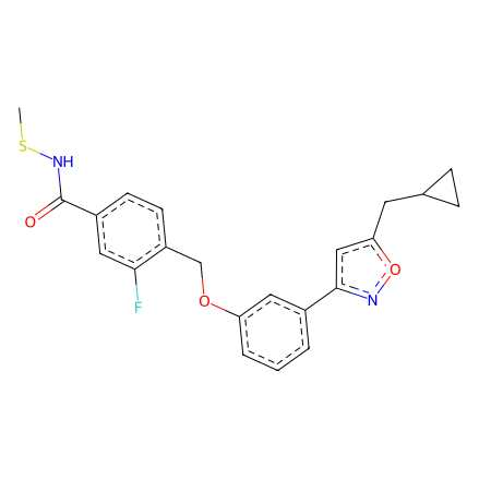 CSNC(=O)c1ccc(COc2cccc(-c3cc(CC4CC4)on3)c2)c(F)c1